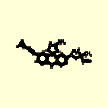 COC(C)(C)COc1ccc2c(c1)C1(COC(N)=N1)c1cc(C#CC3CC3)ccc1O2